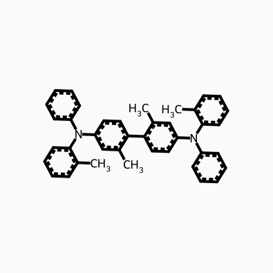 Cc1cc(N(c2ccccc2)c2ccccc2C)ccc1-c1ccc(N(c2ccccc2)c2ccccc2C)cc1C